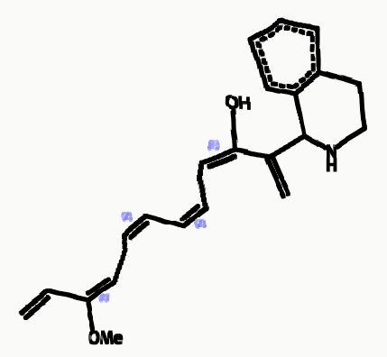 C=C\C(=C/C=C\C=C/C=C(/O)C(=C)C1NCCc2ccccc21)OC